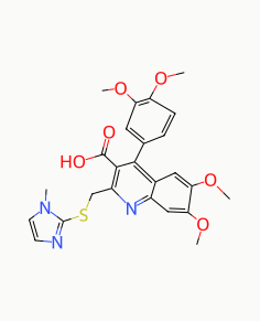 COc1ccc(-c2c(C(=O)O)c(CSc3nccn3C)nc3cc(OC)c(OC)cc23)cc1OC